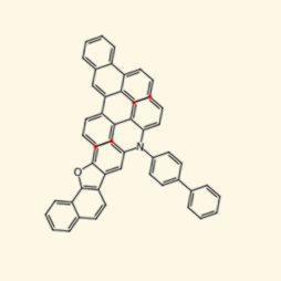 c1ccc(-c2ccc(N(c3ccc4oc5c6ccccc6ccc5c4c3)c3ccccc3-c3ccccc3-c3cc4ccccc4c4ccccc34)cc2)cc1